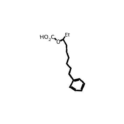 CCC(CCCCCCc1ccccc1)OC(=O)O